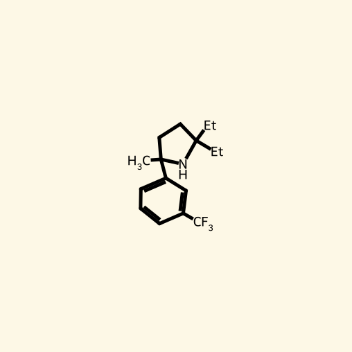 CCC1(CC)CCC(C)(c2cccc(C(F)(F)F)c2)N1